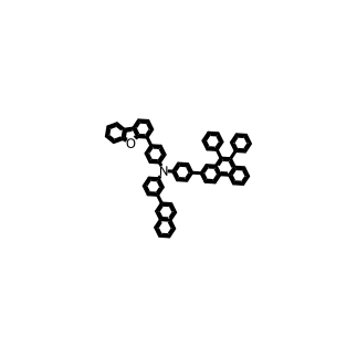 c1ccc(-c2c(-c3ccccc3)c3cc(-c4ccc(N(c5ccc(-c6cccc7c6oc6ccccc67)cc5)c5cccc(-c6ccc7ccccc7c6)c5)cc4)ccc3c3ccccc23)cc1